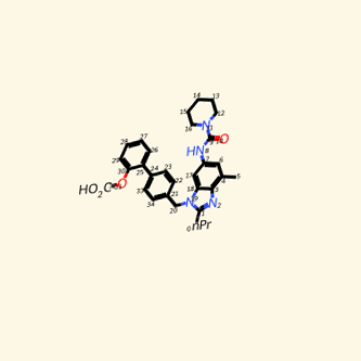 CCCc1nc2c(C)cc(NC(=O)N3CCCCC3)cc2n1Cc1ccc(-c2ccccc2OC(=O)O)cc1